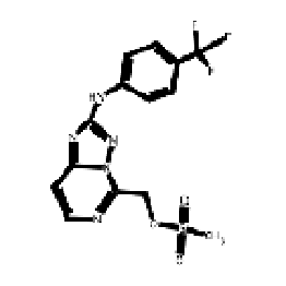 CS(=O)(=O)OCc1nccc2nc(Nc3ccc(C(F)(F)F)cc3)nn12